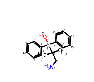 CC(C)(CN)[Si](O)(c1ccccc1)c1ccccc1